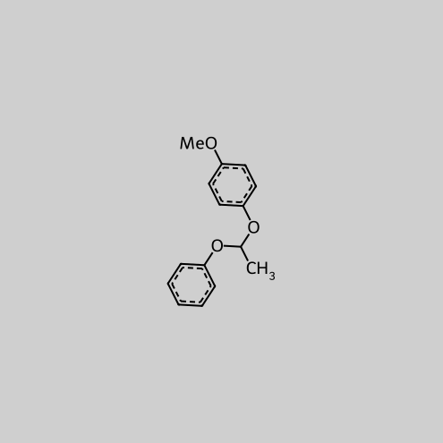 COc1ccc(OC(C)Oc2ccccc2)cc1